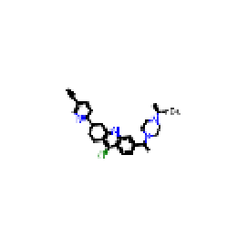 C#Cc1ccc(C2CCc3c(nc4cc(C(=C)N5CCN(C(=C)CCCC)CC5)ccc4c3Cl)C2)nc1